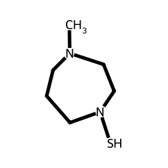 CN1CCCN(S)CC1